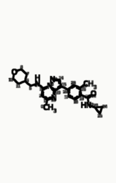 Cc1cc(NCC2CCOCC2)n2ncc(-c3ccc(C(=O)NC4CC4)c(C)c3)c2n1